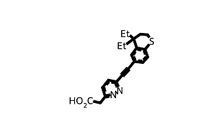 CCC1(CC)CCSc2ccc(C#Cc3ccc(CC(=O)O)nn3)cc21